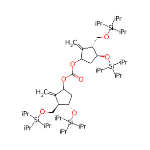 C=C1C(OC(=O)OC2C[C@H](O[Si](C(C)C)(C(C)C)C(C)C)[C@@H](CO[Si](C(C)C)(C(C)C)C(C)C)C2=C)C[C@H](O[Si](C(C)C)(C(C)C)C(C)C)[C@H]1CO[Si](C(C)C)(C(C)C)C(C)C